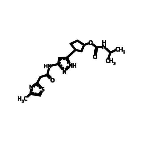 Cc1csc(CC(=O)Nc2cc(C3CCC(OC(=O)NC(C)C)C3)[nH]n2)n1